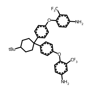 CC(C)(C)C1CCC(c2ccc(Oc3ccc(N)cc3C(F)(F)F)cc2)(c2ccc(Oc3ccc(N)cc3C(F)(F)F)cc2)CC1